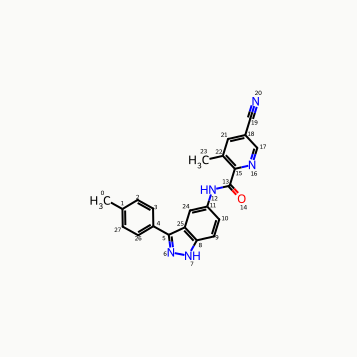 Cc1ccc(-c2n[nH]c3ccc(NC(=O)c4ncc(C#N)cc4C)cc23)cc1